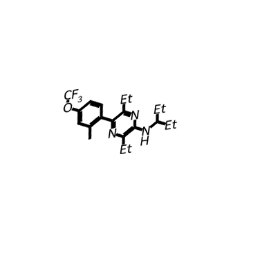 CCc1nc(-c2ccc(OC(F)(F)F)cc2C)c(CC)nc1NC(CC)CC